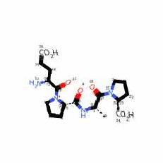 C[C@H](NC(=O)[C@@H]1CCCN1C(=O)[C@@H](N)CCC(=O)O)C(=O)N1CCC[C@H]1C(=O)O